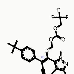 Cc1nn(C)c(/C(OCOC(=O)OCC(F)(F)F)=C(\C#N)c2ccc(C(C)(C)C)cc2)c1C